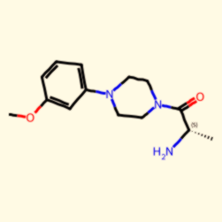 COc1cccc(N2CCN(C(=O)[C@H](C)N)CC2)c1